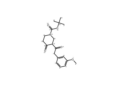 COc1cccc(CC(=O)C2CN(C(=O)OC(C)(C)C)CCC2=O)c1